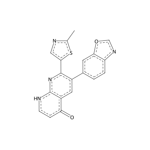 Cc1ncc(-c2nc3[nH]ccc(=O)c3cc2-c2ccc3ncoc3c2)s1